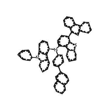 c1ccc(-n2c3ccccc3c3c(N(c4ccc(-c5ccc6ccccc6c5)cc4)c4ccc(-c5cc6ccccc6c6ccccc56)c5sc6ccccc6c45)cccc32)cc1